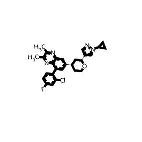 Cc1nc2cc([C@H]3CCO[C@@H](c4cnn(C5CC5)c4)C3)cc(-c3ccc(F)cc3Cl)c2nc1C